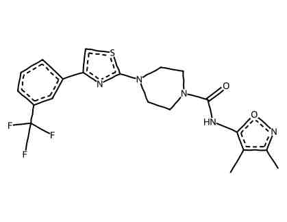 Cc1noc(NC(=O)N2CCN(c3nc(-c4cccc(C(F)(F)F)c4)cs3)CC2)c1C